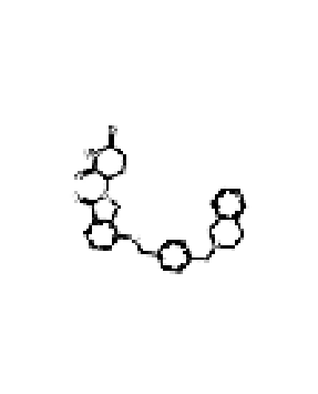 O=C1CCC(N2Cc3c(OCc4ccc(CN5CCc6ccccc6C5)cc4)cccc3C2=O)C(=O)N1